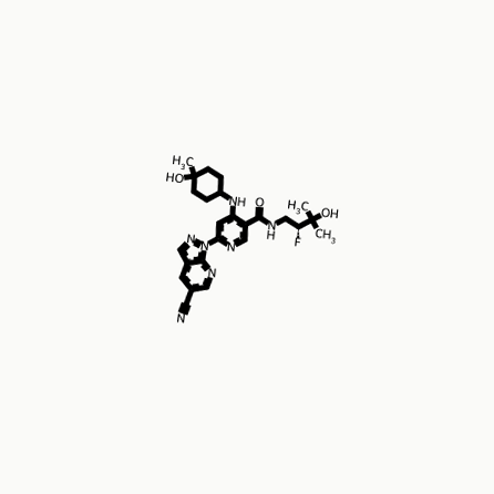 CC1(O)CCC(Nc2cc(-n3ncc4cc(C#N)cnc43)ncc2C(=O)NC[C@@H](F)C(C)(C)O)CC1